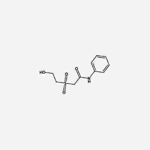 O=C(CS(=O)(=O)CCO)Nc1ccccc1